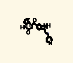 O=C1CN(C(=O)c2ccc3c(/C=C/c4ccncc4)n[nH]c3c2)c2ccccc2N1